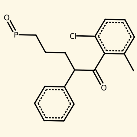 Cc1cccc(Cl)c1C(=O)C(CCCP=O)c1ccccc1